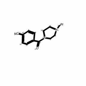 CC(C)N1CCN(C(=O)c2ccc(C#N)cc2)CC1